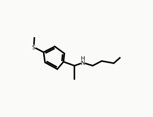 CCCCNC(C)c1ccc(SC)cc1